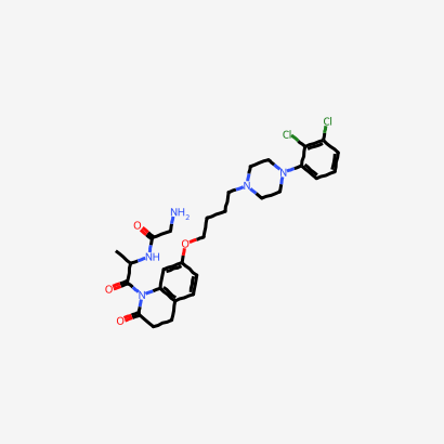 CC(NC(=O)CN)C(=O)N1C(=O)CCc2ccc(OCCCCN3CCN(c4cccc(Cl)c4Cl)CC3)cc21